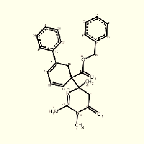 CN1C(=O)CC(C)(C2(C(=O)OCc3ccccc3)C=CC=C(c3ccccc3)C2)N=C1N